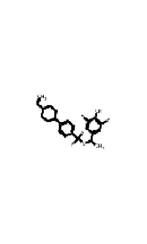 C=CC1CCC(c2ccc(C(F)(F)OC(C)c3cc(F)c(C#N)c(F)c3)cc2)CC1